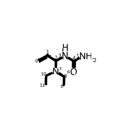 C=[C]C(NC(N)=O)N(CC)CC